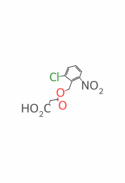 O=C(O)CC(=O)OCc1c(Cl)cccc1[N+](=O)[O-]